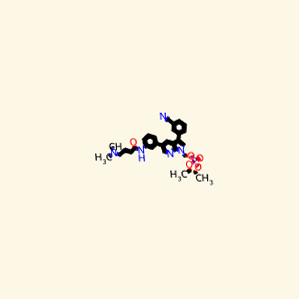 CCOP(=O)(OCC)OCn1cc(-c2cccc(C#N)c2)c2cc(-c3cccc(NC(=O)/C=C/CN(C)C)c3)cnc21